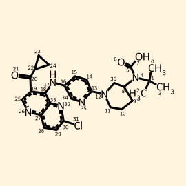 CC(C)(C)N(C(=O)O)C1CCCN(c2ccc(Nc3c(C(=O)C4CC4)cnc4ccc(Cl)nc34)cn2)C1